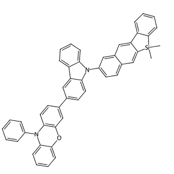 C[Si]1(C)c2ccccc2-c2cc3cc(-n4c5ccccc5c5cc(-c6ccc7c(c6)Oc6ccccc6N7c6ccccc6)ccc54)ccc3cc21